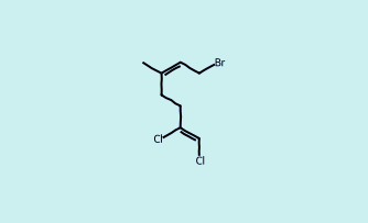 CC(=CCBr)CCC(Cl)=CCl